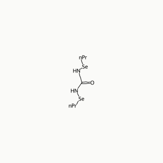 CCC[Se]NC(=O)N[Se]CCC